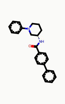 O=C(N[C@H]1CCCN(c2ccccc2)C1)c1ccc(-c2ccccc2)cc1